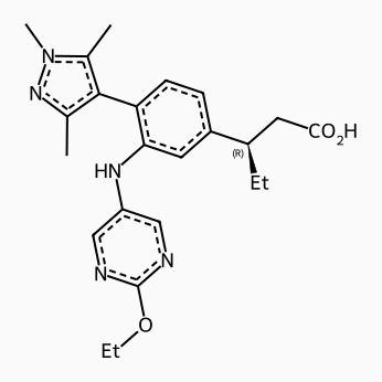 CCOc1ncc(Nc2cc([C@H](CC)CC(=O)O)ccc2-c2c(C)nn(C)c2C)cn1